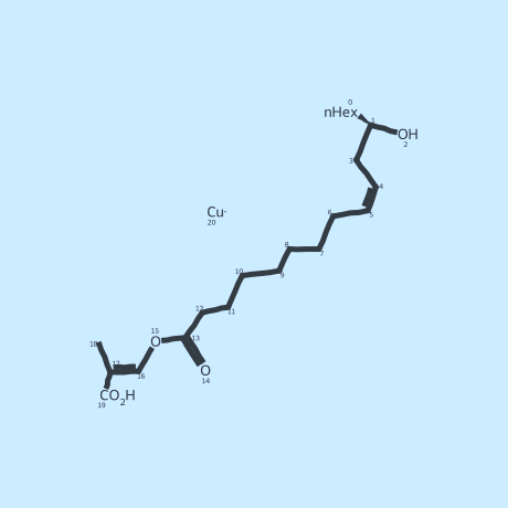 CCCCCC[C@@H](O)C/C=C\CCCCCCCC(=O)OC=C(C)C(=O)O.[Cu]